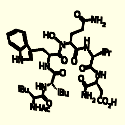 CC[C@H](C)[C@H](NC(C)=O)C(=O)N[C@H](C(=O)N[C@@H](Cc1c[nH]c2ccccc12)C(=O)N(O)[C@@H](CCC(N)=O)C(=O)N[C@H](C(=O)N[C@@H](CC(=O)O)C(N)=O)C(C)C)[C@@H](C)CC